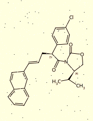 CC(C)[C@@H]1COC(=O)N1C(=O)[C@@H](CC=Cc1ccc2ccccc2c1)c1ccc(Cl)cc1